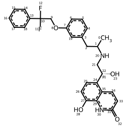 CC(Cc1cccc(OCC(F)(F)c2ccccc2)c1)NC[C@H](O)c1ccc(O)c2[nH]c(=O)ccc12